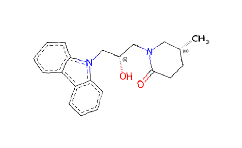 C[C@@H]1CCC(=O)N(C[C@H](O)Cn2c3ccccc3c3ccccc32)C1